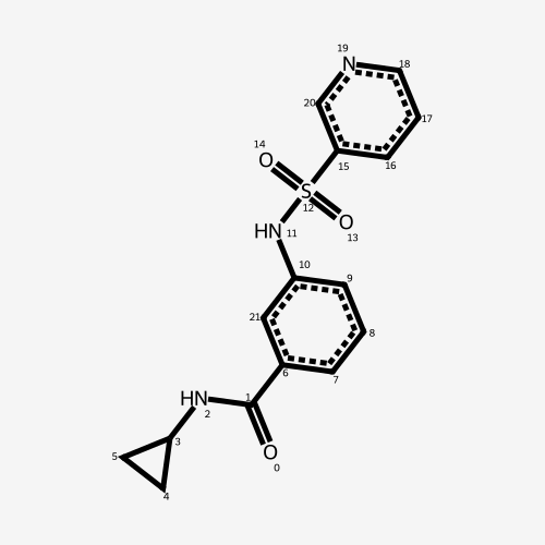 O=C(NC1CC1)c1cccc(NS(=O)(=O)c2cccnc2)c1